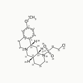 COc1ccc2c(c1)CCN1C[C@H]3CCCN(S(=O)(=O)CCCl)[C@H]3C[C@@H]21